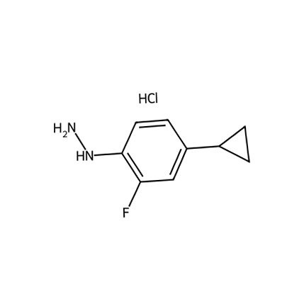 Cl.NNc1ccc(C2CC2)cc1F